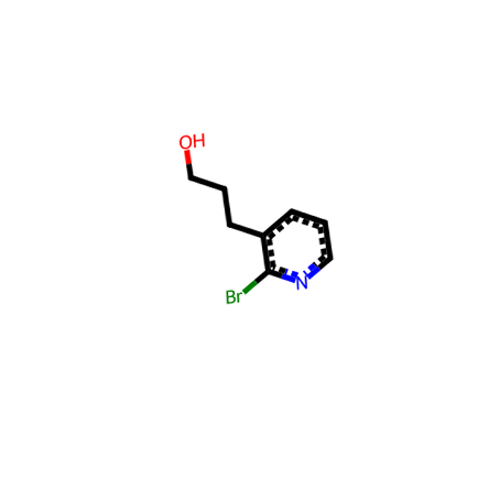 OCCCc1cccnc1Br